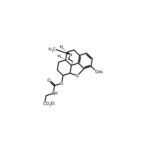 CCOC(=O)CNC(=O)OC1CC[C@H]2[C@H]3Cc4ccc(OC(C)=O)c5c4[C@@]2(CCN3C)C1O5